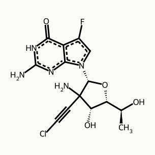 C[C@H](O)[C@H]1O[C@@H](n2cc(F)c3c(=O)[nH]c(N)nc32)C(N)(C#CCl)[C@H]1O